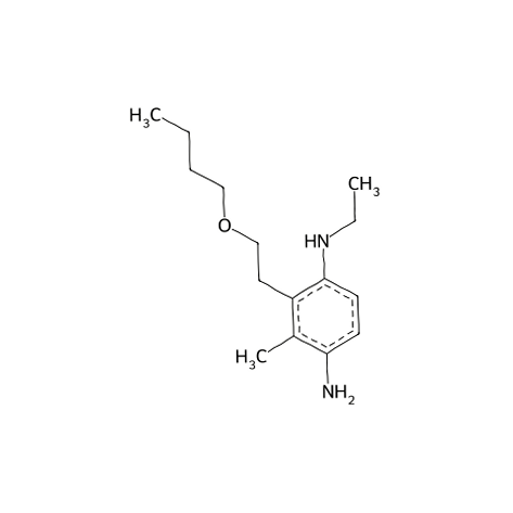 CCCCOCCc1c(NCC)ccc(N)c1C